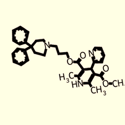 COC(=O)C1=C(C)NC(C)=C(C(=O)OCCCN2CCC(c3ccccc3)(c3ccccc3)CC2)C1c1ccccn1